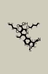 CCCCOc1nc(-c2ccc3c(c2)c(C#N)cn3C)c(CC)c(OCCCC)c1C(=O)O